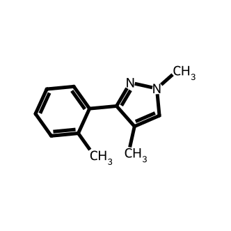 Cc1ccccc1-c1nn(C)cc1C